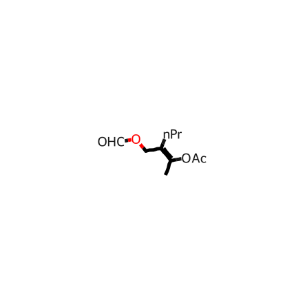 CCC/C(COC=O)=C(/C)OC(C)=O